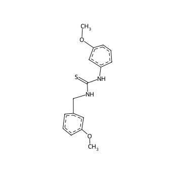 COc1cccc(CNC(=S)Nc2cccc(OC)c2)c1